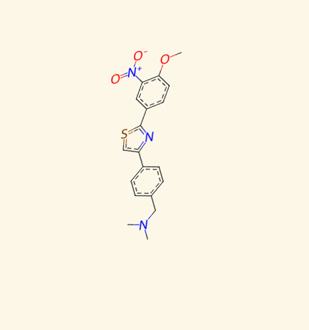 COc1ccc(-c2nc(-c3ccc(CN(C)C)cc3)cs2)cc1[N+](=O)[O-]